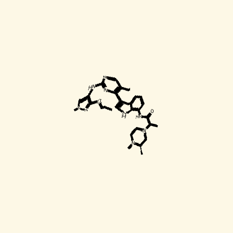 CCOc1nn(C)cc1Nc1ncc(C)c(-c2c[nH]c3c(NC(=O)C(C)N4CCN(C)[C@H](C)C4)cccc23)n1